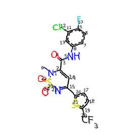 CN1C(C(=O)Nc2ccc(F)c(Cl)c2)=CC(c2ccc(C(F)(F)F)s2)=NS1(=O)=O